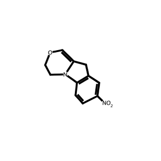 O=[N+]([O-])c1ccc2c(c1)CC1=COCCN12